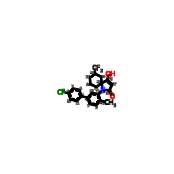 Cc1ccc(-c2ccc(Cl)cc2)cc1N1C(=O)C=C(O)C12CCCC(C(F)(F)F)C2